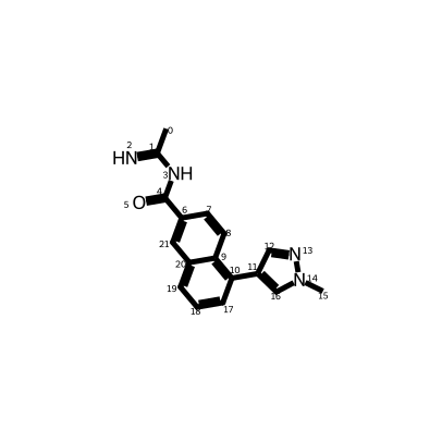 CC(=N)NC(=O)c1ccc2c(-c3cnn(C)c3)cccc2c1